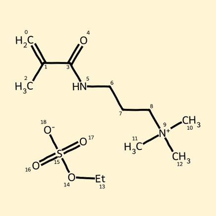 C=C(C)C(=O)NCCC[N+](C)(C)C.CCOS(=O)(=O)[O-]